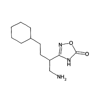 NCC(CCC1CCCCC1)c1noc(=O)[nH]1